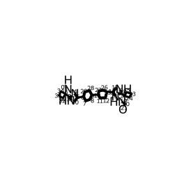 CNC1(c2nc(-c3ccc(-c4ccc(-c5c[nH]c(C6(NC=O)CCC6)n5)cc4)cc3)c[nH]2)CCC1